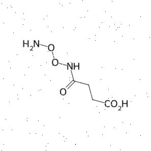 NOONC(=O)CCC(=O)O